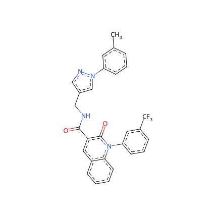 Cc1cccc(-n2cc(CNC(=O)c3cc4ccccc4n(-c4cccc(C(F)(F)F)c4)c3=O)cn2)c1